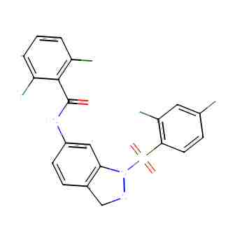 O=C(Nc1ccc2c(c1)N(S(=O)(=O)c1ccc(F)cc1F)NC2)c1c(F)cccc1Cl